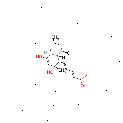 C[C@H]1C[C@@H](C)[C@H]2[C@H](C1)C(O)=C[C@@](C)(O)[C@@H]2/C=C/C=C/C(=O)O